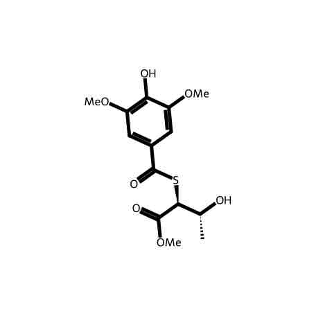 COC(=O)[C@@H](SC(=O)c1cc(OC)c(O)c(OC)c1)[C@@H](C)O